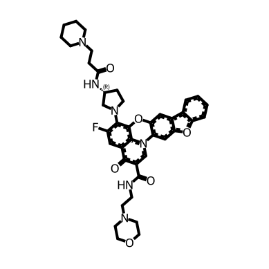 O=C(CCN1CCCCC1)N[C@@H]1CCN(c2c(F)cc3c(=O)c(C(=O)NCCN4CCOCC4)cn4c3c2Oc2cc3c(cc2-4)oc2ccccc23)C1